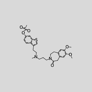 COc1cc2c(cc1OC)CC(=O)N(CCCN(C)CCc1csc3cc(OS(C)(=O)=O)ccc13)CC2